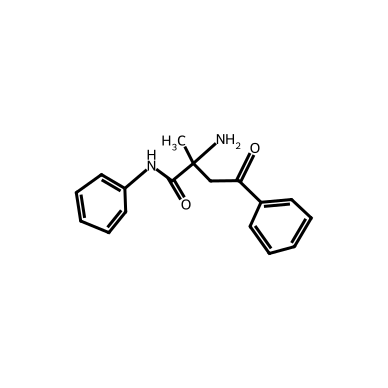 CC(N)(CC(=O)c1ccccc1)C(=O)Nc1ccccc1